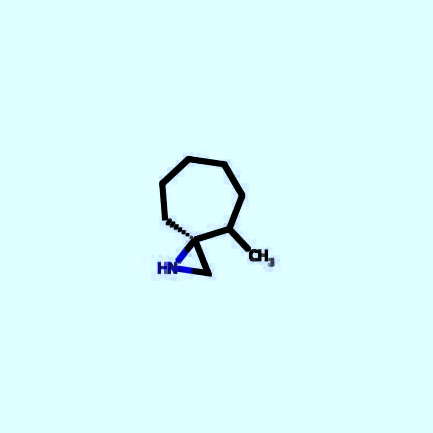 CC1CCCCC[C@@]12CN2